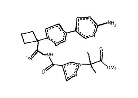 COC(=O)C(C)(C)n1cc(C(=O)NC(=N)C2(c3ccc(-c4cnc(N)nc4)cc3)CCC2)cn1